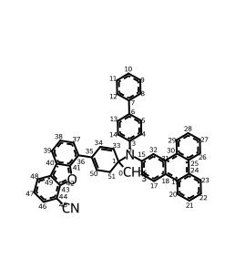 CC1(N(c2ccc(-c3ccccc3)cc2)c2ccc3c4ccccc4c4ccccc4c3c2)C=CC(c2cccc3c2oc2c(C#N)cccc23)=CC1